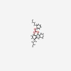 CCCCc1ccccc1OC(=O)Oc1ccc(CCCC)c(CCCC)c1CCCC